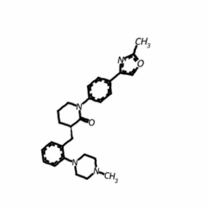 Cc1nc(-c2ccc(N3CCC[C@H](Cc4ccccc4N4CCN(C)CC4)C3=O)cc2)co1